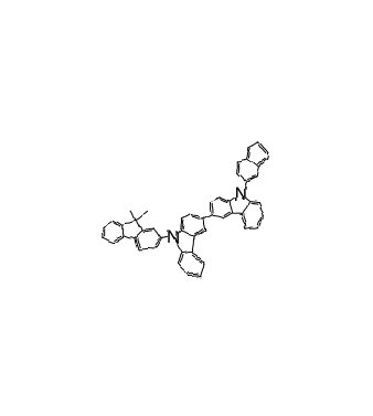 CC1(C)c2ccccc2-c2ccc(-n3c4ccccc4c4cc(-c5ccc6c(c5)c5ccccc5n6-c5ccc6ccccc6c5)ccc43)cc21